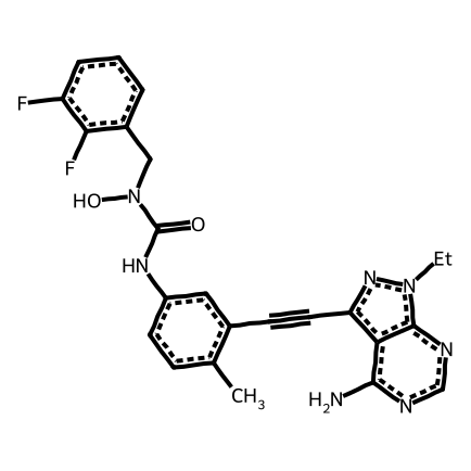 CCn1nc(C#Cc2cc(NC(=O)N(O)Cc3cccc(F)c3F)ccc2C)c2c(N)ncnc21